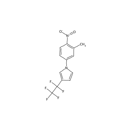 Cc1cc(-n2ccc(C(F)(F)C(F)(F)F)c2)ccc1[N+](=O)[O-]